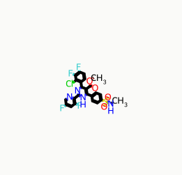 CNS(=O)(=O)c1ccc(C2=C(C(=O)OC)C(c3ccc(F)c(F)c3Cl)N=C(c3ncc(F)cc3F)N2)cc1